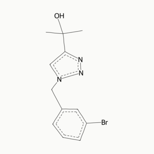 CC(C)(O)c1cn(Cc2cccc(Br)c2)nn1